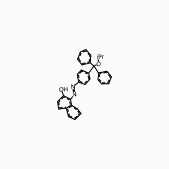 CC(C)OC(c1ccccc1)(c1ccccc1)c1ccc(/N=N/c2c(O)ccc3ccccc23)cc1